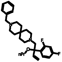 C=CC(CN1CCC2(CCN(Cc3ccccc3)CC2)CC1)(OCCC)c1ccc(F)cc1F